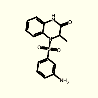 CC1C(=O)Nc2ccccc2N1S(=O)(=O)c1cccc(N)c1